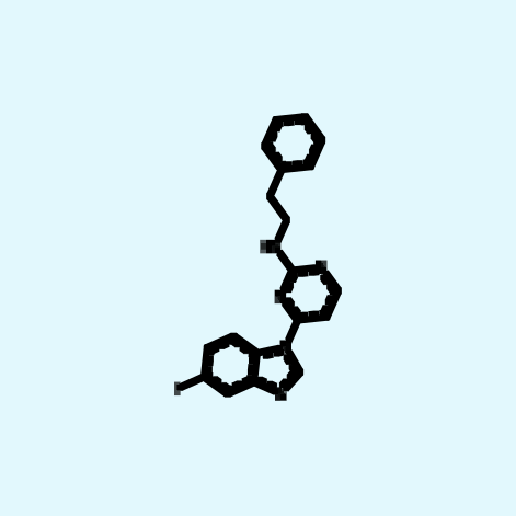 Ic1ccc2c(c1)ncn2-c1ccnc(NCCc2ccccc2)n1